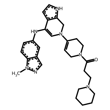 Cn1ncc2cc(NC3=CN(C4=CCN(C(=O)CCN5CCCCC5)CC4)Cc4[nH]ccc43)ccc21